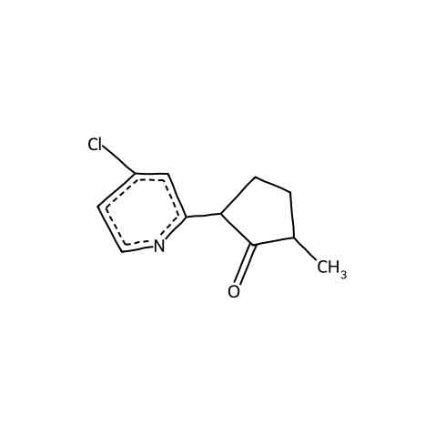 CC1CCC(c2cc(Cl)ccn2)C1=O